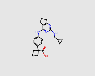 O=C(O)C1(c2ccc(Nc3nc(NCC4CC4)nc4c3CCC4)cc2)CCC1